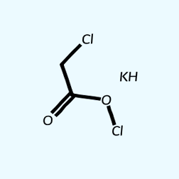 O=C(CCl)OCl.[KH]